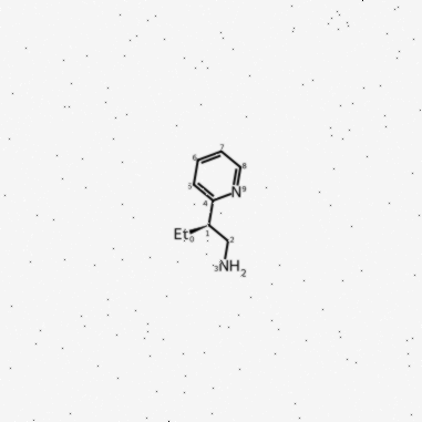 CC[C@H](CN)c1ccccn1